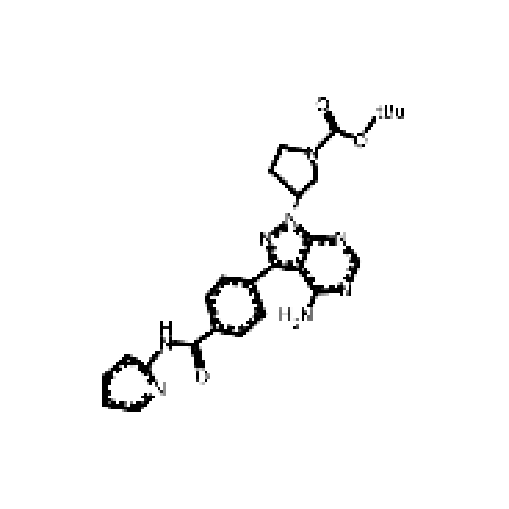 CC(C)(C)OC(=O)N1CC[C@@H](n2nc(-c3ccc(C(=O)Nc4ccccn4)cc3)c3c(N)ncnc32)C1